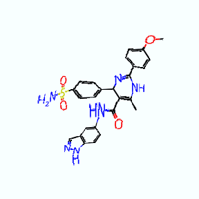 COc1ccc(C2=NC(c3ccc(S(N)(=O)=O)cc3)C(C(=O)Nc3ccc4[nH]ncc4c3)=C(C)N2)cc1